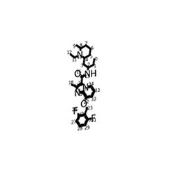 CCC(CC1CCCC(C)N1CC)NC(=O)c1c(C)nc2c(OCc3c(F)cccc3F)cccn12